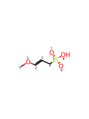 COC=CCS(=O)(=O)O